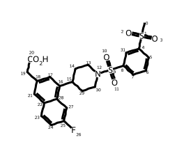 CS(=O)(=O)c1cccc(S(=O)(=O)N2CCC(c3cc(CC(=O)O)cc4ccc(F)cc34)CC2)c1